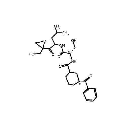 CC(C)CC(NC(=O)[C@H](CO)NC(=O)C1CCC[C@@H](C(=O)c2ccccc2)C1)C(=O)C1(CO)CO1